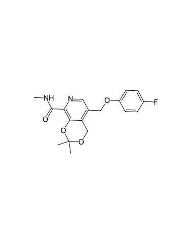 CNC(=O)c1ncc(COc2ccc(F)cc2)c2c1OC(C)(C)OC2